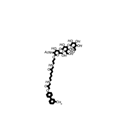 CC(=O)NC1C(O)[C@H](O[C@@H]2OC(CO)[C@H](O)C(O[C@H]3OC(CO)[C@H](O)C(O)C3O)C2O)C(CO)O[C@H]1OCCCNCC(=O)CCCCCNCC(=O)COc1ccc(-c2cccc(C)c2)cc1